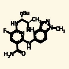 CCCC[C@@H](Nc1nc(Nc2ccc3c(cnn3C)c2)c(C(N)=O)cc1F)[C@H](C)N